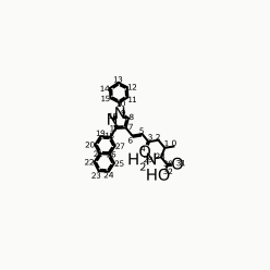 CC(CC(=O)C=Cc1cn(-c2ccccc2)nc1-c1ccc2ccccc2c1)[C@H](N)C(=O)O